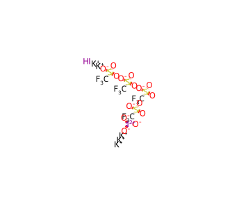 I.O=S(=O)([O-])C(F)(F)F.O=S(=O)([O-])C(F)(F)F.O=S(=O)([O-])C(F)(F)F.O=S(=O)([O-])C(F)(F)F.[K+].[K+].[K+].[K+].[K+].[O-][I+2]([O-])[O-]